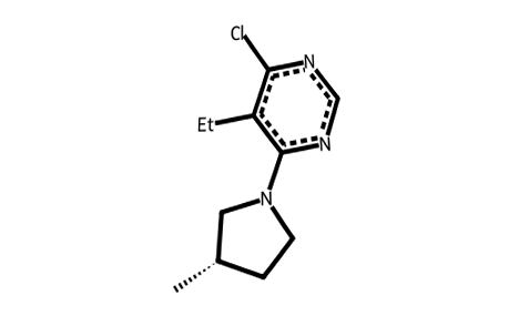 CCc1c(Cl)ncnc1N1CC[C@H](C)C1